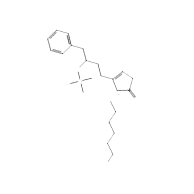 CC(C)(C)[Si](C)(C)OC(CCC1=CCC(=O)[C@@H]1CCCCCCC(=O)O)Cc1ccccc1